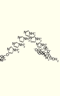 C1=C[NH2+]C=N1.C1=C[NH2+]C=N1.C1=C[NH2+]C=N1.C1=C[NH2+]C=N1.C1=C[NH2+]C=N1.C1=C[NH2+]C=N1.O.O.O.O.O.O=C([O-])[O-].O=C([O-])[O-].O=C([O-])[O-].O=C([O-])[O-].[Ni+2]